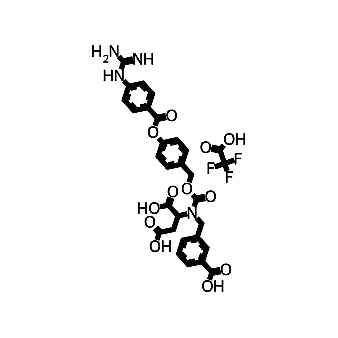 N=C(N)Nc1ccc(C(=O)Oc2ccc(COC(=O)N(Cc3cccc(C(=O)O)c3)C(CC(=O)O)C(=O)O)cc2)cc1.O=C(O)C(F)(F)F